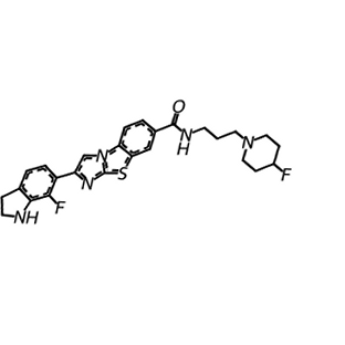 O=C(NCCCN1CCC(F)CC1)c1ccc2c(c1)sc1nc(-c3ccc4c(c3F)NCC4)cn12